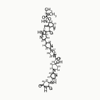 CCN(C)S(=O)(=O)Nc1ccc(F)c(C(=O)c2c[nH]c3ncc(-c4ccc(N5CCN(C(=O)CC6(O)CCN(c7ccc(NC8CCC(=O)NC8=O)cn7)CC6)CC5)nc4)cc23)c1F